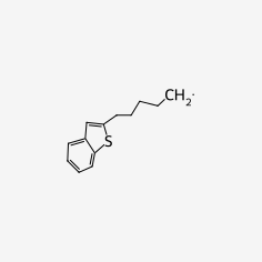 [CH2]CCCCc1cc2ccccc2s1